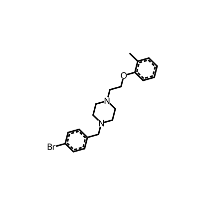 Cc1ccccc1OCCN1CCN(Cc2ccc(Br)cc2)CC1